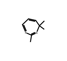 CC1=NC(C)(C)C=CC=N1